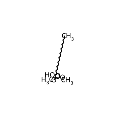 CCCCCCCCCCCCCCCCCc1cc(OC)cc(OC)c1O